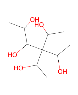 CC(O)C(O)C(C(C)O)(C(C)O)C(C)O